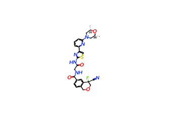 C[C@@H]1CN(c2cccc(-c3csc(NC(=O)CNC(=O)c4ccc5c(c4)C(F)(C#N)COC5)n3)n2)C[C@H](C)O1